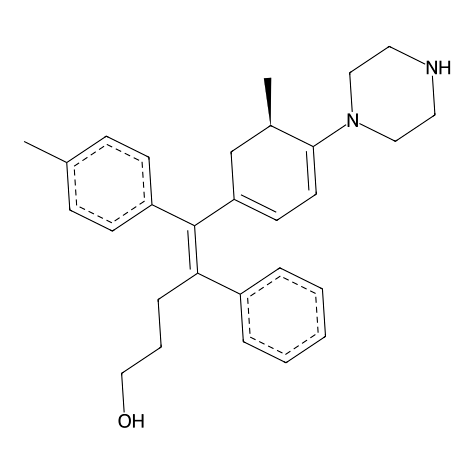 Cc1ccc(/C(C2=CC=C(N3CCNCC3)[C@H](C)C2)=C(\CCCO)c2ccccc2)cc1